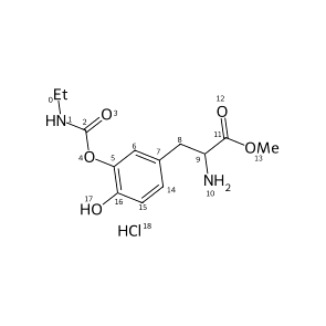 CCNC(=O)Oc1cc(CC(N)C(=O)OC)ccc1O.Cl